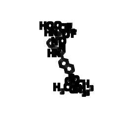 C[C@@H](OC(F)F)[C@H](NC(=O)O)C(=O)N1CCC[C@H]1c1ncc(-c2ccc3cc(B4OC(C)(C)C(C)(C)O4)ccc3c2)[nH]1